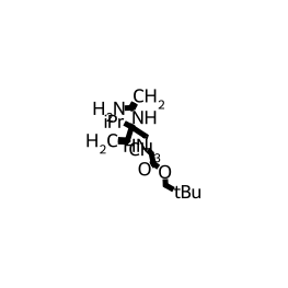 C=C(N)NC(CNCC(=O)OCC(C)(C)C)(C(=C)C)C(C)C